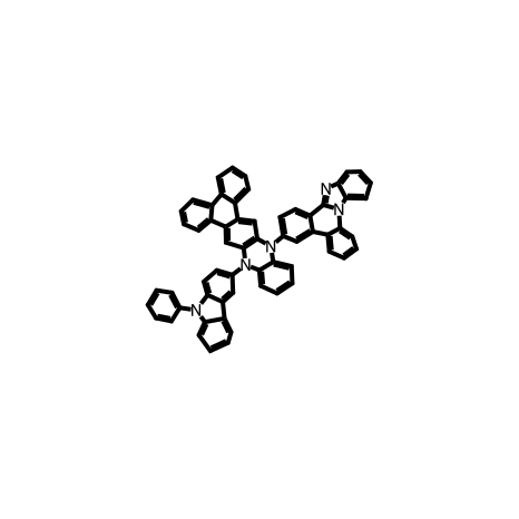 c1ccc(-n2c3ccccc3c3cc(N4c5ccccc5N(c5ccc6c(c5)c5ccccc5n5c7ccccc7nc65)c5cc6c7ccccc7c7ccccc7c6cc54)ccc32)cc1